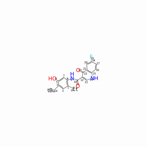 CCc1cc(C(C)(C)C)c(O)cc1NC(=O)c1c[nH]c2ccc(F)cc2c1=O